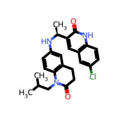 CC(C)CN1C(=O)CCc2cc(N[C@@H](C)c3cc4cc(Cl)ccc4[nH]c3=O)ccc21